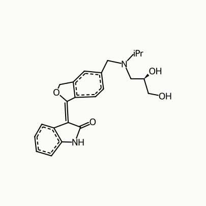 CC(C)N(Cc1ccc2c(c1)COC2=C1C(=O)Nc2ccccc21)C[C@@H](O)CO